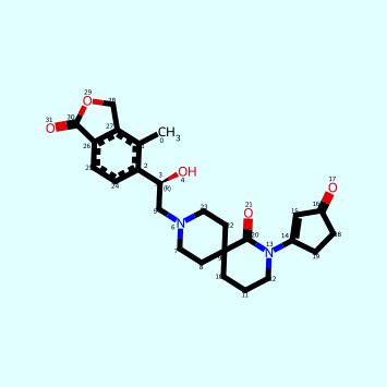 Cc1c([C@@H](O)CN2CCC3(CCCN(C4=CC(=O)CC4)C3=O)CC2)ccc2c1COC2=O